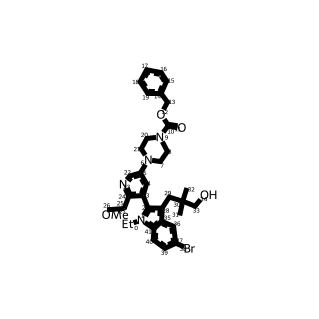 CCn1c(-c2cc(N3CCN(C(=O)OCc4ccccc4)CC3)cnc2C(C)OC)c(CC(C)(C)CO)c2cc(Br)ccc21